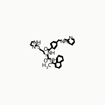 C[C@H](NC(=O)[C@H](CCCSC1=NCCN1)NC(=O)c1ccc(CNCc2ccccn2)cc1)c1cccc2ccccc12